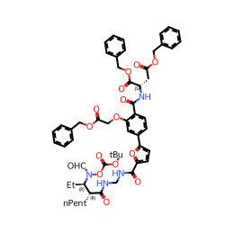 CCCCC[C@@H](C(=O)NCNC(=O)c1ccc(-c2ccc(C(=O)N[C@@H](CC(=O)OCc3ccccc3)C(=O)OCc3ccccc3)c(OCC(=O)OCc3ccccc3)c2)o1)[C@@H](CC)N(C=O)OC(=O)OC(C)(C)C